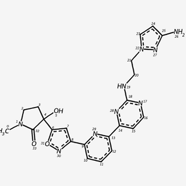 CN1CCC(O)(c2cc(-c3cccc(-c4ccnc(NCCn5ccc(N)n5)n4)n3)no2)C1=O